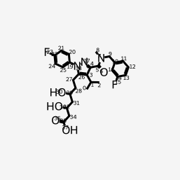 CC(C)c1c(C(=O)N(C)Cc2cccc(F)c2)nn(-c2ccc(F)cc2)c1CCC(O)CC(O)CC(=O)O